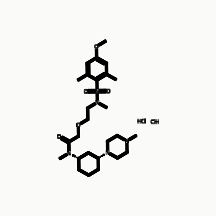 COc1cc(C)c(S(=O)(=O)N(C)CCOCC(=O)N(C)[C@H]2CCC[C@@H](N3CCN(C)CC3)C2)c(C)c1.Cl.Cl